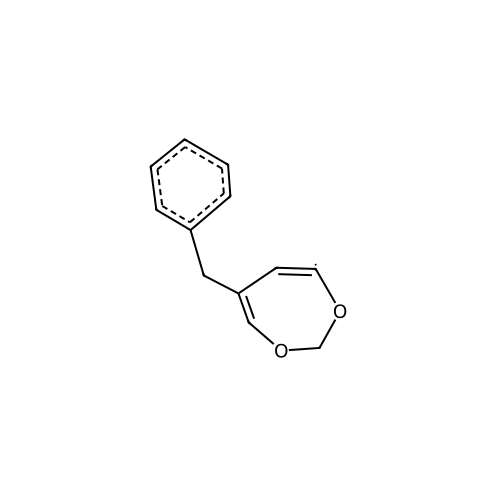 [C]1=CC(Cc2ccccc2)=COCO1